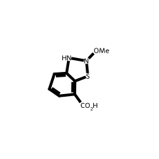 CON1Nc2cccc(C(=O)O)c2S1